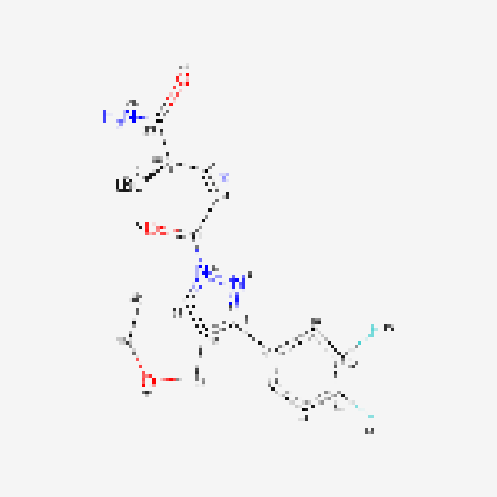 CC(C)(C)[C@H](/C=C\C(=O)n1nc(-c2ccc(F)c(F)c2)c2c1CCOC2)C(N)=O